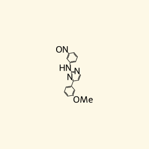 COc1cccc(-c2ccnc(Nc3cccc(N=O)c3)n2)c1